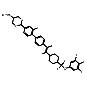 CCCCCC1COC(c2ccc(-c3ccc(/C(F)=C(\F)C4CCC(C(F)(F)Oc5cc(F)c(F)c(F)c5)CC4)cc3)c(F)c2)OC1